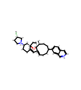 C[C@H]1CCC(c2ccc3ccncc3c2)CC/C=C2/C=C3CC[C@@H](N4CC[C@H](F)C4)C[C@]34CC[C@@]21O4